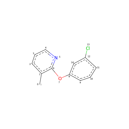 [CH]c1cccnc1Oc1cccc(Cl)c1